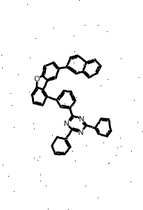 C1=CCCC(c2nc(-c3ccccc3)nc(-c3cccc(-c4cccc5oc6ccc(-c7ccc8ccccc8c7)cc6c45)c3)n2)=C1